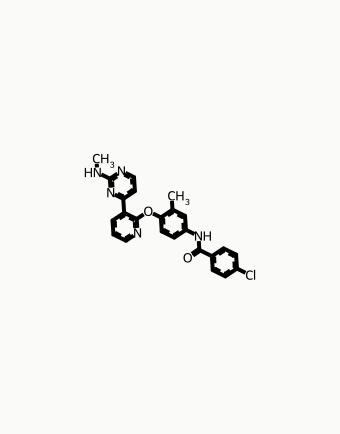 CNc1nccc(-c2cccnc2Oc2ccc(NC(=O)c3ccc(Cl)cc3)cc2C)n1